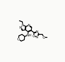 CCn1ncc2c(NC3CCOCC3)c(-c3nc(COC)no3)cnc21